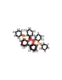 c1ccc(P(c2ccccc2)c2ccccc2COc2ccccc2-c2ccccc2OCc2ccccc2P(c2ccccc2)c2ccccc2)cc1